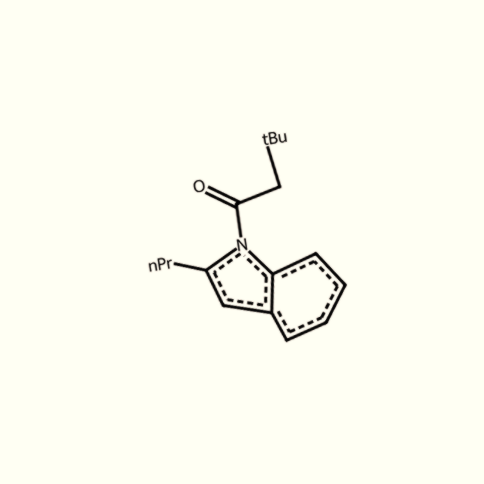 CCCc1cc2ccccc2n1C(=O)CC(C)(C)C